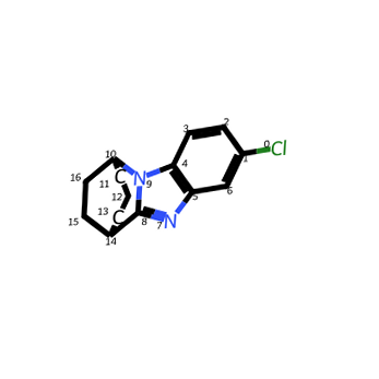 Clc1ccc2c(c1)nc1n2C2CCCC1CC2